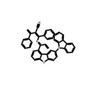 C=C/C(=N\C(=C(\C#N)C(=C)c1ccccc1)c1ccccc1)c1cccc2oc3ccc(-n4c5ccccc5c5ccccc54)cc3c12